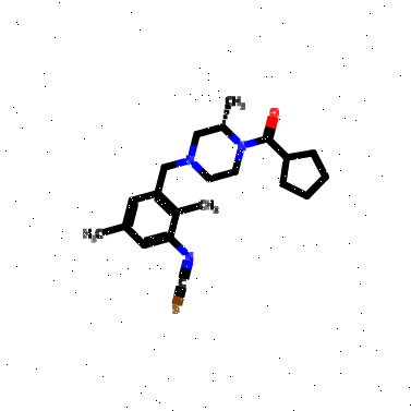 Cc1cc(CN2CCN(C(=O)C3CCCC3)[C@@H](C)C2)c(C)c(N=C=S)c1